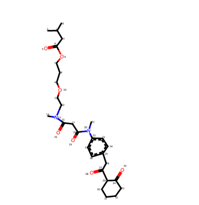 CC(C)CC(=O)OCCCOCCN(C)C(=O)CC(=O)N(C)c1ccc(CC(=O)C2CCCCC2=O)cc1